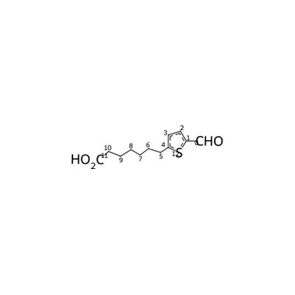 O=Cc1ccc(CCCCCCC(=O)O)s1